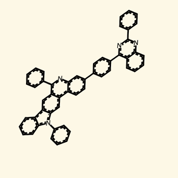 c1ccc(-c2nc(-c3ccc(-c4ccc5c(c4)nc(-c4ccccc4)c4cc6c7ccccc7n(-c7ccccc7)c6cc45)cc3)c3ccccc3n2)cc1